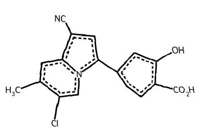 Cc1cc2c(C#N)cc(-c3ccc(C(=O)O)c(O)c3)n2cc1Cl